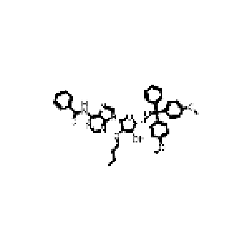 CCCCO[C@@H]1[C@H](O)[C@@H](COC(c2ccccc2)(c2ccc(OC)cc2)c2ccc(OC)cc2)O[C@H]1n1cnc2c(NC(=O)c3ccccc3)ncnc21